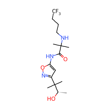 C[C@H](O)C(C)(C)c1cc(NC(=O)C(C)(C)NCCCC(F)(F)F)on1